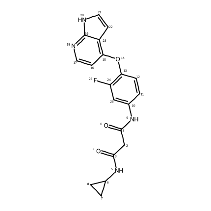 O=C(CC(=O)NC1CC1)Nc1ccc(Oc2ccnc3[nH]ccc23)c(F)c1